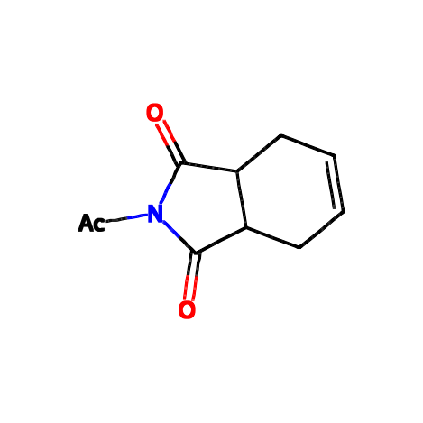 CC(=O)N1C(=O)C2CC=CCC2C1=O